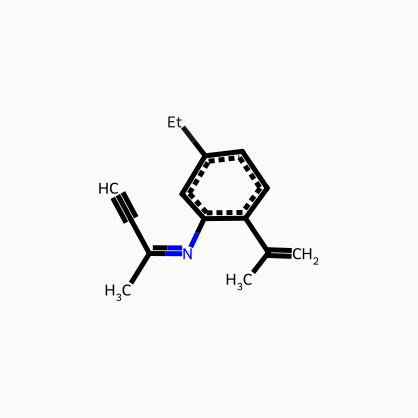 C#C/C(C)=N\c1cc(CC)ccc1C(=C)C